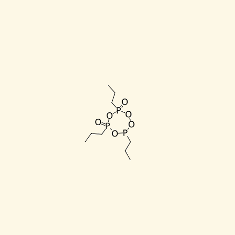 CCCP1OOP(=O)(CCC)OP(=O)(CCC)O1